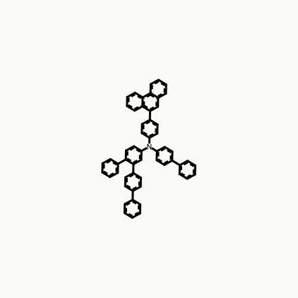 c1ccc(-c2ccc(-c3cc(N(c4ccc(-c5ccccc5)cc4)c4ccc(-c5cc6ccccc6c6ccccc56)cc4)ccc3-c3ccccc3)cc2)cc1